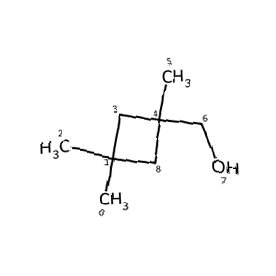 CC1(C)CC(C)(CO)C1